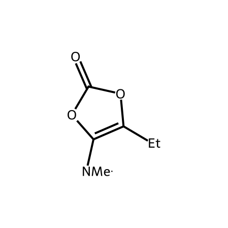 CCc1oc(=O)oc1[N]C